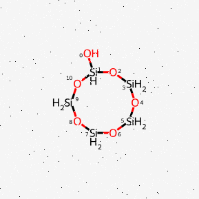 O[SiH]1O[SiH2]O[SiH2]O[SiH2]O[SiH2]O1